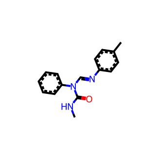 CNC(=O)N(C=Nc1ccc(C)cc1)c1ccccc1